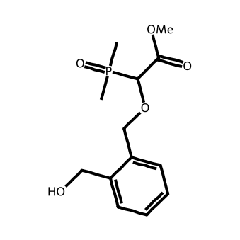 COC(=O)C(OCc1ccccc1CO)P(C)(C)=O